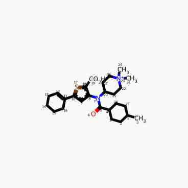 CC1CCC(C(=O)N(c2cc(C3=CCCCC3)sc2C(=O)O)C2CC[N+](C)(C)CC2)CC1